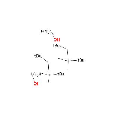 CC(C)(C)CC(C)(C)C(C)(C)C.CC(C)(C)CC(C)(C)C(C)(C)C.O=C(O)O.O=C(O)O